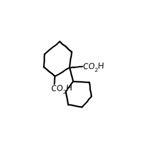 O=C(O)C1CCCCC1(C(=O)O)C1CCCCC1